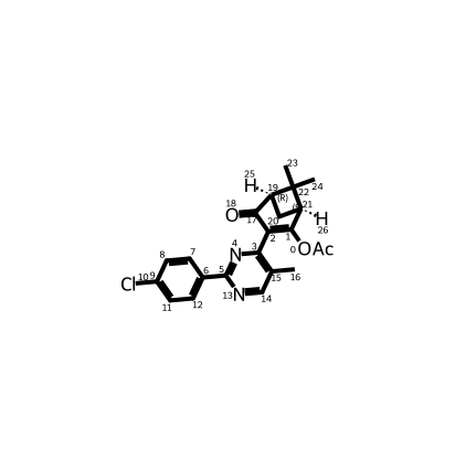 CC(=O)OC1=C(c2nc(-c3ccc(Cl)cc3)ncc2C)C(=O)[C@@H]2C[C@H]1C2(C)C